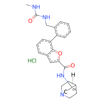 CNC(=O)NCc1ccccc1-c1cccc2cc(C(=O)N[C@@H]3CN4CCC3CC4)oc12.Cl